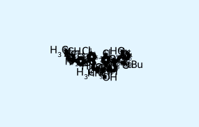 C[C@H](NCc1ccc(Cl)cc1Oc1ccc(-c2cnc(CN(C)C)n2C)cc1)C(=O)N[C@@H](CO)C(=O)N[C@@]1(Cc2ccc(Cl)cc2)CCCN(C(=O)[C@@H](CCOC(C)(C)C)Cc2cccc[n+]2O)C1